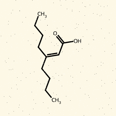 CCCCC(=CC(=O)O)CCCC